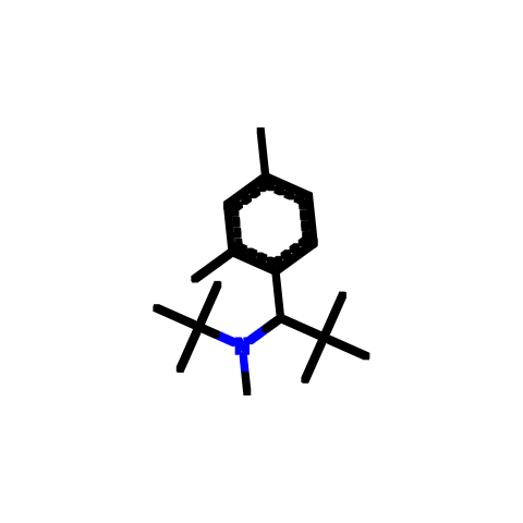 Cc1ccc(C(N(C)C(C)(C)C)C(C)(C)C)c(C)c1